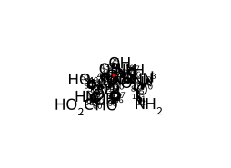 C[C@H](NI)C(=O)N[C@@H](CCCCN)C(=O)N1CCC[C@H]1C(=O)N[C@@H](CO)C(=O)N[C@@H](Cc1ccc(O)cc1)C(=O)N1C[C@H](O)C[C@H]1C(=O)N1C[C@H](O)C[C@H]1C(=O)N[C@H](C(=O)O)[C@@H](C)O